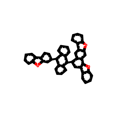 c1ccc2c(c1)oc1cc(-c3c4ccccc4c(-c4cc5c6ccccc6oc5c5cc6oc7ccccc7c6cc45)c4ccccc34)ccc12